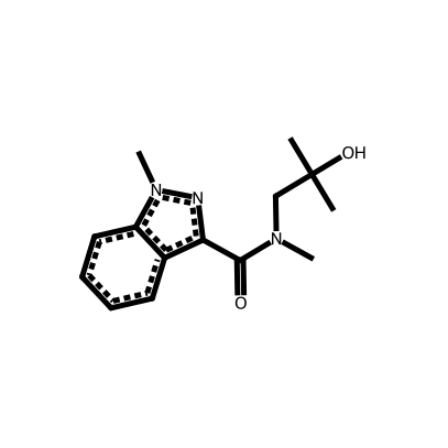 CN(CC(C)(C)O)C(=O)c1nn(C)c2ccccc12